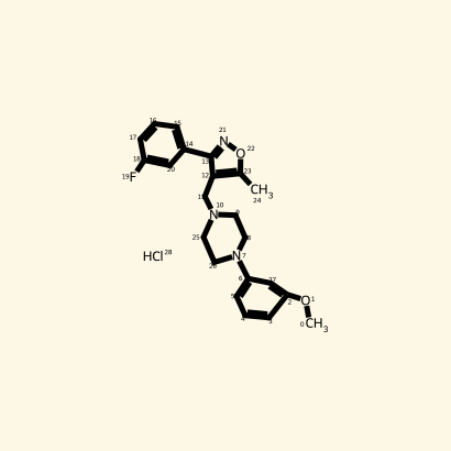 COc1cccc(N2CCN(Cc3c(-c4cccc(F)c4)noc3C)CC2)c1.Cl